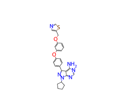 Nc1ncnc2c1c(-c1ccc(Oc3cccc(OCc4cncs4)c3)cc1)nn2C1CCCC1